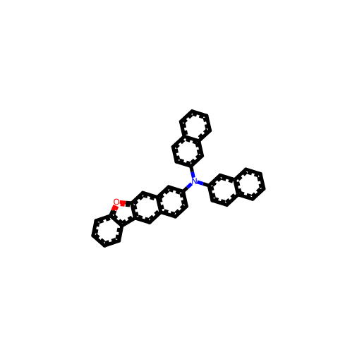 c1ccc2cc(N(c3ccc4ccccc4c3)c3ccc4cc5c(cc4c3)oc3ccccc35)ccc2c1